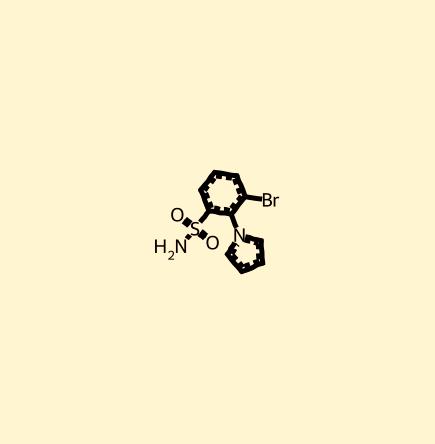 NS(=O)(=O)c1cccc(Br)c1-n1cccc1